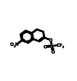 O=[N+]([O-])c1ccc2c(c1)C=C(OS(=O)(=O)C(F)(F)F)CC2